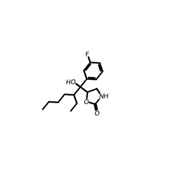 CCCCC(CC)C(O)(c1cccc(F)c1)C1CNC(=O)O1